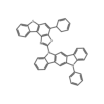 C1=CCC(c2cc3sc4ccccc4c3c3nc(-n4c5ccccc5c5cc6c(cc54)c4ccccc4n6-c4ccccc4)oc23)C=C1